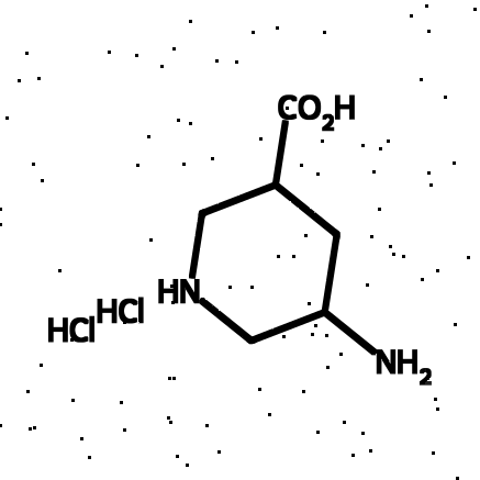 Cl.Cl.NC1CNCC(C(=O)O)C1